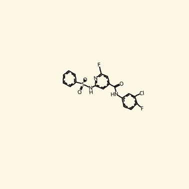 O=C(Nc1ccc(F)c(Cl)c1)c1cc(F)nc(NS(=O)(=O)c2ccccc2)c1